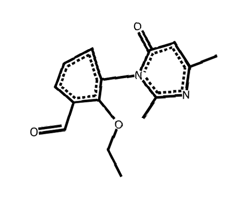 CCOc1c(C=O)cccc1-n1c(C)nc(C)cc1=O